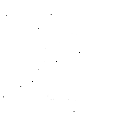 NCC(C[PH](=O)O)c1ccc(C(F)(F)F)cc1